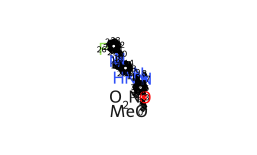 COCCOc1cc2ncnc(Nc3ccc4c(cnn4Cc4cccc(F)c4)c3)c2cc1[N+](=O)[O-]